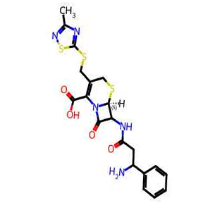 Cc1nsc(SCC2=C(C(=O)O)N3C(=O)C(NC(=O)CC(N)c4ccccc4)[C@@H]3SC2)n1